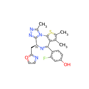 Cc1sc2c(c1C)C(c1ccc(O)cc1F)=N[C@@H](Cc1ncco1)c1nnc(C)n1-2